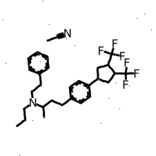 CC#N.CCCN(CCc1ccccc1)C(C)CCc1ccc(C2CC(C(F)(F)F)C(C(F)(F)F)C2)cc1